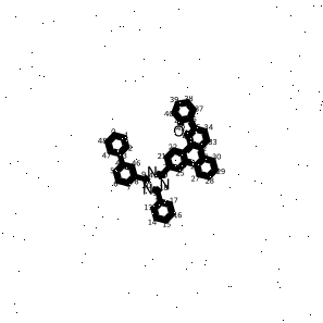 c1ccc(-c2cccc(-c3nc(-c4ccccc4)nc(-c4ccc5c(c4)c4ccccc4c4ccc6c7ccccc7oc6c45)n3)c2)cc1